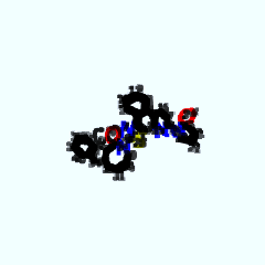 O=C(O)C[C@@H]1C(=O)N(c2nc(-c3ccccc3-c3ccc(N4CCCC4=O)nc3)cs2)CC=CC[C@@H]1Cc1ccccc1